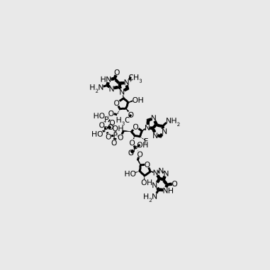 CO[C@@H]1[C@H](O)[C@@H](n2c[n+](C)c3c(=O)[nH]c(N)nc32)O[C@H]1COP(=O)(O)OP(=O)(O)OP(=O)(O)OC[C@H]1O[C@@H](n2cnc3c(N)ncnc32)[C@H](F)[C@@H]1OP(=O)(O)OC[C@H]1O[C@@H](n2nnc3c(=O)[nH]c(N)nc32)[C@H](O)[C@@H]1O